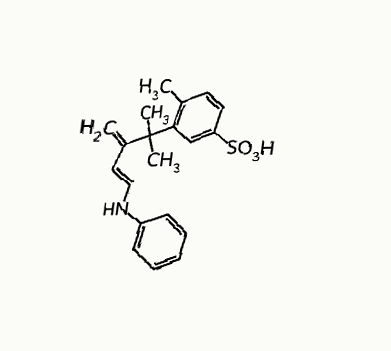 C=C(/C=C/Nc1ccccc1)C(C)(C)c1cc(S(=O)(=O)O)ccc1C